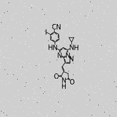 N#Cc1ccc(Nc2cc(NC3CC3)n3ncc(/C=C4\CC(=O)NC4=O)c3n2)cc1I